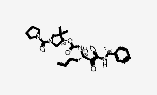 CCCC[C@H](NC(=O)O[C@@H]1CN(C(=O)N2CCCC2)CC1(C)C)C(=O)C(=O)N[C@H](C)c1ccccc1